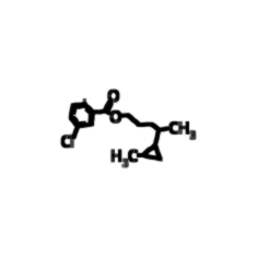 CC(CCCOC(=O)c1[c]ccc(Cl)c1)C1CC1C